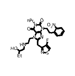 CCCn1c(=O)c2c(nc(Cc3nscc3F)n2CCNCC(O)CC)n(CCc2ccccc2[N+](=O)[O-])c1=O